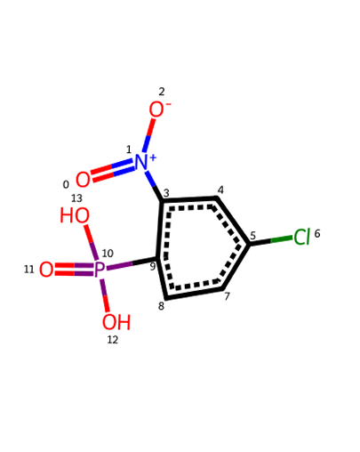 O=[N+]([O-])c1cc(Cl)ccc1P(=O)(O)O